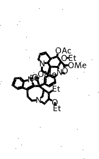 CCOC1CN2CCc3c(n(CC)c4ccccc34)C(C(=O)OC)(c3ccc4c(c3)C35CCN6CC=CC(C(OC(C)=O)C(OCC)(C(=O)OC)C3N4C)C65)C(C2)C1CC